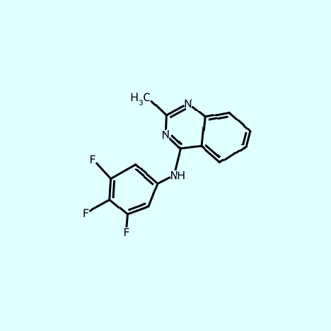 Cc1nc(Nc2cc(F)c(F)c(F)c2)c2ccccc2n1